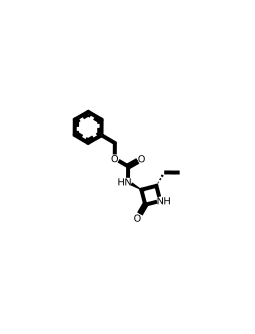 CC[C@@H]1NC(=O)[C@H]1NC(=O)OCc1ccccc1